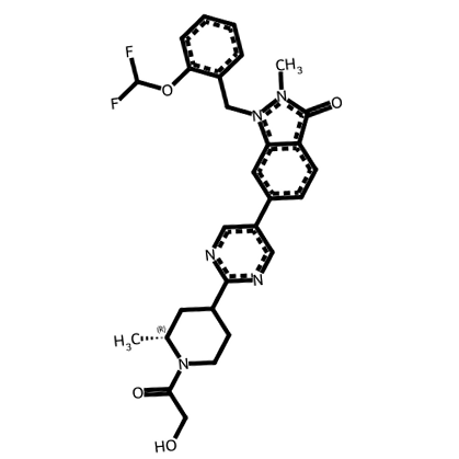 C[C@@H]1CC(c2ncc(-c3ccc4c(=O)n(C)n(Cc5ccccc5OC(F)F)c4c3)cn2)CCN1C(=O)CO